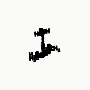 CN(C)C1=CCC2=Cc3ccc(N(C)C)cc3N(CCCCCCCCCCP(=O)(O)O)C2=C1